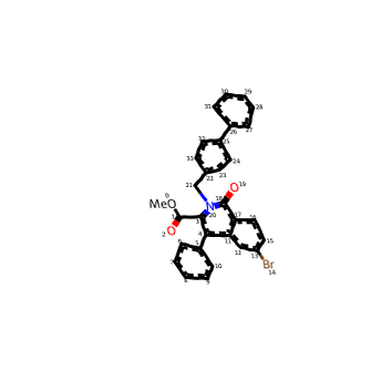 COC(=O)c1c(-c2ccccc2)c2cc(Br)ccc2c(=O)n1Cc1ccc(-c2ccccc2)cc1